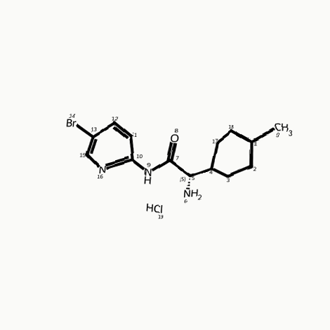 CC1CCC([C@H](N)C(=O)Nc2ccc(Br)cn2)CC1.Cl